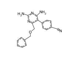 N#Cc1ccc(-c2c(N)nc(N)nc2COCc2ccccc2)cc1